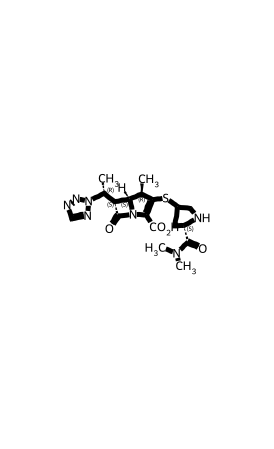 C[C@H]([C@H]1C(=O)N2C(C(=O)O)=C(SC3CN[C@H](C(=O)N(C)C)C3)[C@H](C)[C@H]12)n1ncnn1